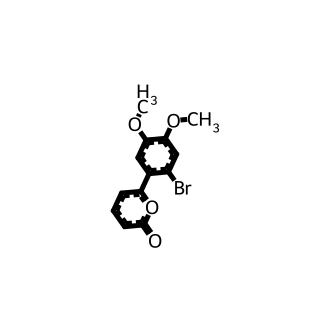 COc1cc(Br)c(-c2cccc(=O)o2)cc1OC